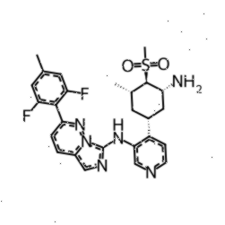 Cc1cc(F)c(-c2ccc3cnc(Nc4cnccc4[C@H]4C[C@@H](N)[C@H](S(C)(=O)=O)[C@@H](C)C4)n3n2)c(F)c1